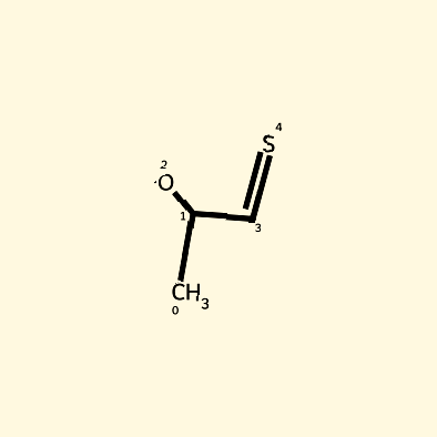 CC([O])C=S